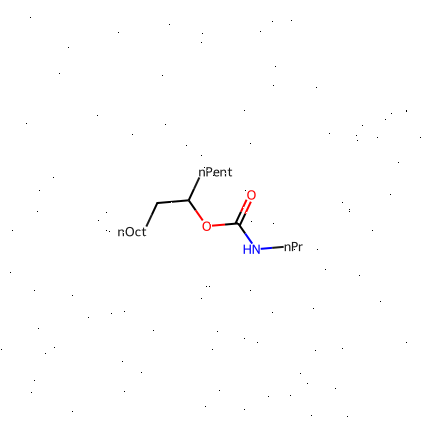 CCCCCCCCCC(CCCCC)OC(=O)NCCC